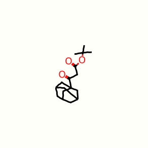 CC(C)(C)OC(=O)CC(=O)C12CC3CC(CC(C3)C1)C2